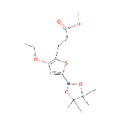 CCOc1cc(B2OC(C)(C)C(C)(C)O2)sc1CCC(=O)OC